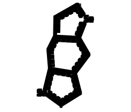 [c]1cc2cc3[se][c]cc3cc2[se]1